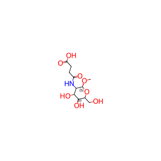 CO[C@H]1OC(CO)[C@@H](O)C(O)C1NC(=O)CCC(=O)O